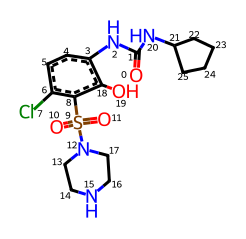 O=C(Nc1ccc(Cl)c(S(=O)(=O)N2CCNCC2)c1O)NC1CCCC1